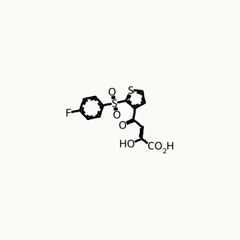 O=C(O)C(O)=CC(=O)c1ccsc1S(=O)(=O)c1ccc(F)cc1